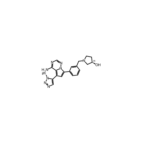 CC(C)n1nncc1-c1cc(-c2cccc(CN3CC[C@@H](O)C3)c2)n2ncnc(N)c12